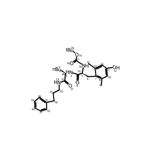 CCCC[C@@H](NC(=O)[C@H](Cc1c(C)cc(O)cc1C)NC(=O)OC(C)(C)C)C(=O)NCCCc1ccccc1